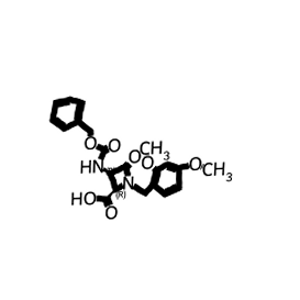 COc1ccc(CN2C(=O)[C@H](NC(=O)OCc3ccccc3)[C@@H]2C(=O)O)c(OC)c1